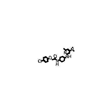 Cc1cc(N(C)C)cc(NC2CCC(NC(=O)COc3ccc(Cl)cc3)CC2)n1